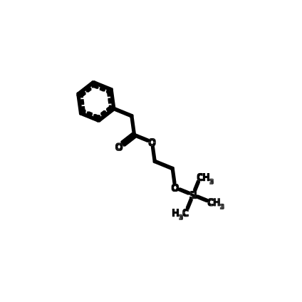 C[Si](C)(C)OCCOC(=O)Cc1ccccc1